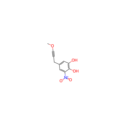 COC#CCc1cc(O)c(O)c([N+](=O)[O-])c1